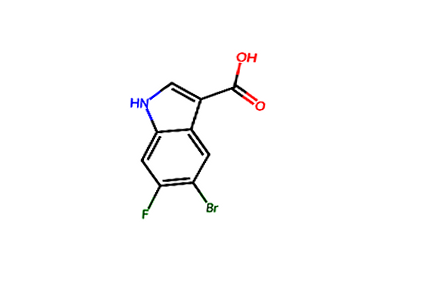 O=C(O)c1c[nH]c2cc(F)c(Br)cc12